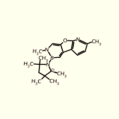 Cc1ccc2c3c(oc2n1)=CN(C)B(N1[C@@H](C)C(C)(C)CC1(C)C)C=3